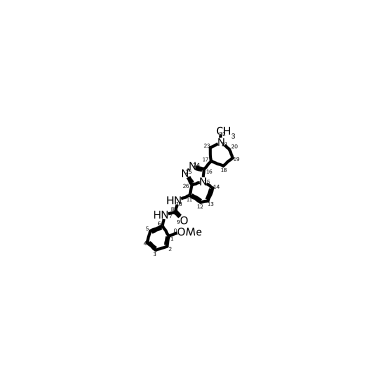 COc1ccccc1NC(=O)Nc1cccn2c(C3CCCN(C)C3)nnc12